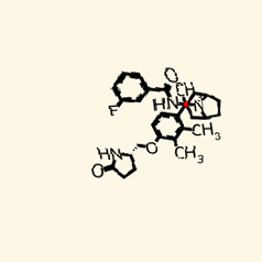 Cc1c(OC[C@@H]2CCC(=O)N2)ccc(C(C)N2C3CCC2CC(NC(=O)c2cccc(F)c2)C3)c1C